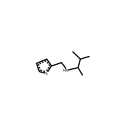 CC(C)C(C)NCc1cccs1